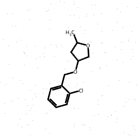 CC1CC(OCc2ccccc2Cl)CO1